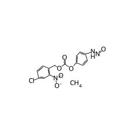 C.O=NNc1ccc(OC(=O)OCc2ccc(Cl)cc2[N+](=O)[O-])cc1